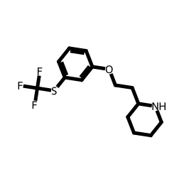 FC(F)(F)Sc1cccc(OCCC2CCCCN2)c1